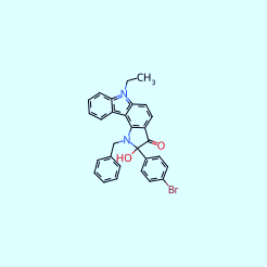 CCn1c2ccccc2c2c3c(ccc21)C(=O)C(O)(c1ccc(Br)cc1)N3Cc1ccccc1